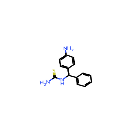 NC(=S)NC(c1ccccc1)c1ccc(N)cc1